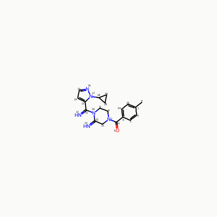 Cc1ccc(C(=O)N2CCN(C(=N)c3ccnn3C3CC3)C(=N)C2)cc1